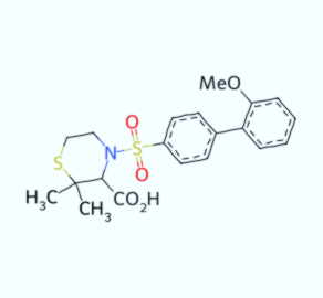 COc1ccccc1-c1ccc(S(=O)(=O)N2CCSC(C)(C)C2C(=O)O)cc1